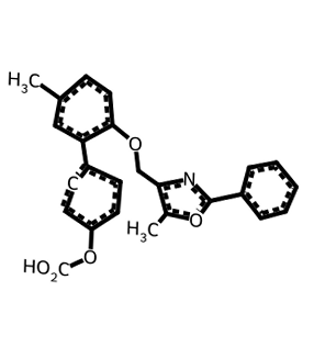 Cc1ccc(OCc2nc(-c3ccccc3)oc2C)c(-c2ccc(OC(=O)O)cc2)c1